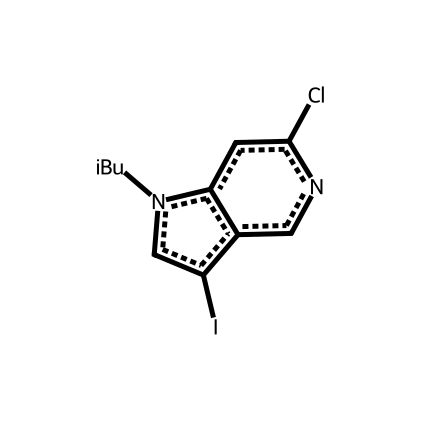 CCC(C)n1cc(I)c2cnc(Cl)cc21